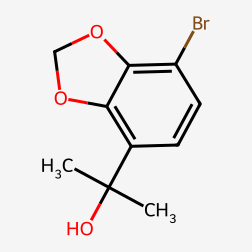 CC(C)(O)c1ccc(Br)c2c1OCO2